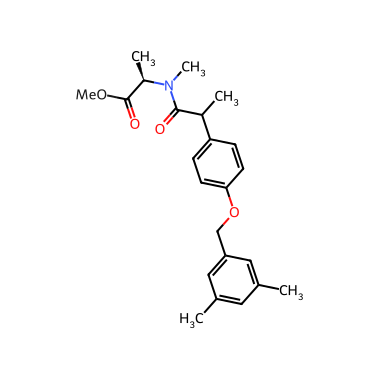 COC(=O)[C@@H](C)N(C)C(=O)C(C)c1ccc(OCc2cc(C)cc(C)c2)cc1